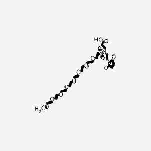 COCCOCCOCCOCCOCCOCCOCCOCCS(=O)(=O)N(CCC(=O)O)CCN1C(=O)C=CC1=O